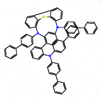 c1ccc(-c2ccc(N(c3ccc(-c4ccccc4)cc3)c3ccccc3-c3ccc4cc3N(c3ccc(-c5ccccc5)cc3)c3cccc5c3sc3c(cccc35)N4c3ccc(-c4ccccc4)cc3)cc2)cc1